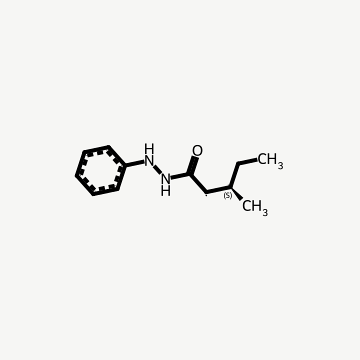 CC[C@@H](C)[CH]C(=O)NNc1ccccc1